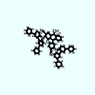 Cc1cc(C#N)c(-n2c3ccc(-c4ccccc4)cc3c3cc(-c4ccccc4)ccc32)cc1C1c2ccccc2C(C)c2cc(C#N)c(-n3c4ccc(-c5ccccc5)cc4c4cc(-c5ccccc5)ccc43)cc21